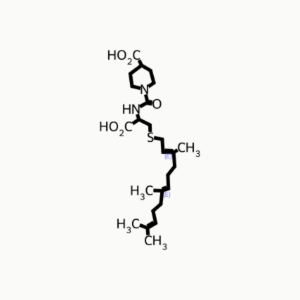 CC(C)=CCC/C(C)=C/CC/C(C)=C/CSCC(NC(=O)N1CCC(C(=O)O)CC1)C(=O)O